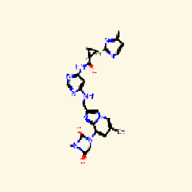 CCc1cc(N2CC(=O)N(C)C2=O)c2nc(CNc3cc(NC(=O)[C@H]4C[C@@H]4c4nccc(C)n4)ncn3)cn2c1